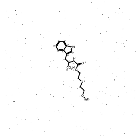 CCCOCCOCCOC(=O)NC(Cc1c[nH]c2ccccc12)C(=O)O